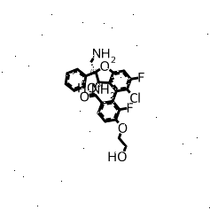 NC[C@]1(c2ccccc2)Oc2cc(F)c(Cl)c(-c3c(C(N)=O)ccc(OCCO)c3F)c2[C@@H]1O